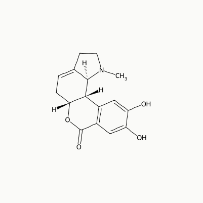 CN1CCC2=CC[C@H]3OC(=O)c4cc(O)c(O)cc4[C@H]3[C@@H]21